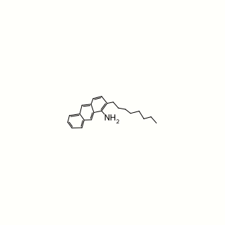 CCCCCCCCc1ccc2cc3ccccc3cc2c1N